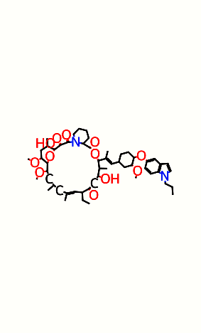 CCCn1ccc2cc(OC3CCC(C=C(C)C4OC(=O)C5CCCCN5C(=O)C(=O)C5(O)OC(C(OC)CC(C)C/C(C)=C/C(CC)C(=O)CC(O)C4C)C(OC)CC5C)CC3OC)ccc21